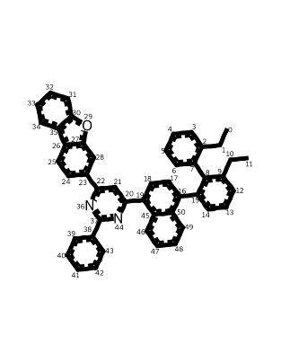 CCc1ccccc1-c1c(CC)cccc1-c1ccc(-c2cc(-c3ccc4c(c3)oc3ccccc34)nc(-c3ccccc3)n2)c2ccccc12